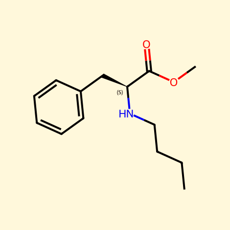 CCCCN[C@@H](Cc1ccccc1)C(=O)OC